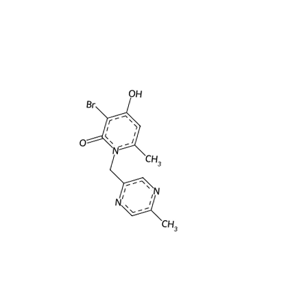 Cc1cnc(Cn2c(C)cc(O)c(Br)c2=O)cn1